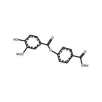 COC(=O)c1ccc(OC(=O)c2ccc(O)c(OC)c2)cc1